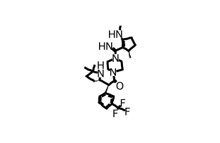 CNC1=C(C(=N)N2CCN(C(=O)[C@@H](c3cccc(C(F)(F)F)c3)[C@@H]3CCC(C)(C)N3)CC2)[C@H](C)CC1